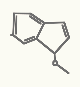 COC1C=Cc2cc[c]cc21